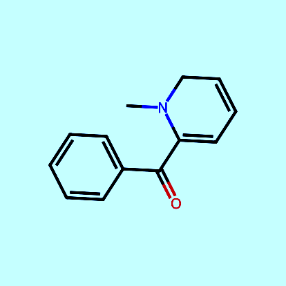 CN1CC=CC=C1C(=O)c1ccccc1